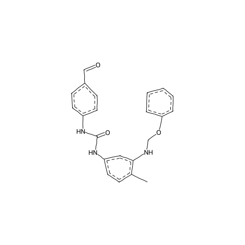 Cc1ccc(NC(=O)Nc2ccc(C=O)cc2)cc1NCOc1ccccc1